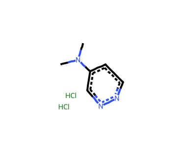 CN(C)c1ccnnc1.Cl.Cl